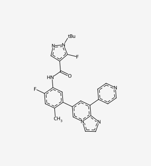 Cc1cc(F)c(NC(=O)c2cnn(C(C)(C)C)c2F)cc1-c1cc(-c2ccncc2)c2nccn2c1